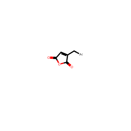 CC(=O)CC1=CC(=O)OC1=O